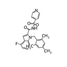 Cc1cc(C)c(Cn2c(C(=O)NS(=O)(=O)c3ccncc3)cc3c(F)cccc32)c(C)c1